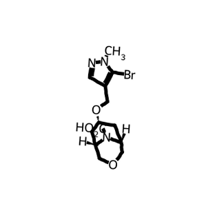 Cn1ncc(CO[C@H]2C[C@H]3COC[C@@H](C2)N3C(=O)O)c1Br